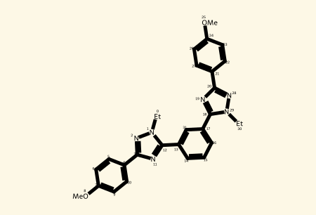 CCn1nc(-c2ccc(OC)cc2)nc1-c1cccc(-c2nc(-c3ccc(OC)cc3)nn2CC)c1